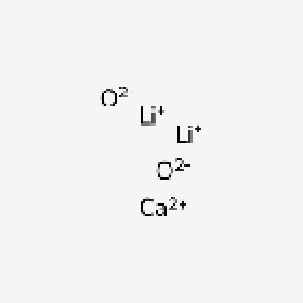 [Ca+2].[Li+].[Li+].[O-2].[O-2]